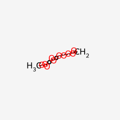 C=CC(=O)OCCOCCOCCOc1ccc(OC(=O)C2CCC(C(=O)OCOCC)CC2)cc1